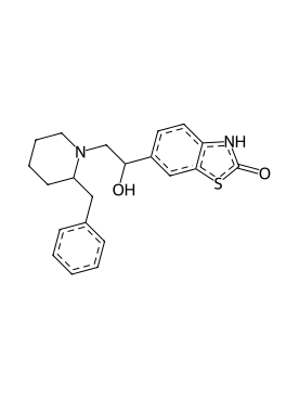 O=c1[nH]c2ccc(C(O)CN3CCCCC3Cc3ccccc3)cc2s1